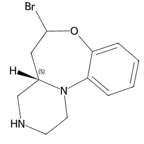 BrC1C[C@H]2CNCCN2c2ccccc2O1